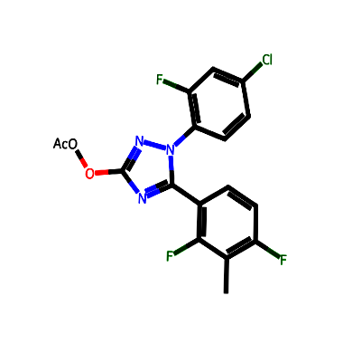 CC(=O)OOc1nc(-c2ccc(F)c(C)c2F)n(-c2ccc(Cl)cc2F)n1